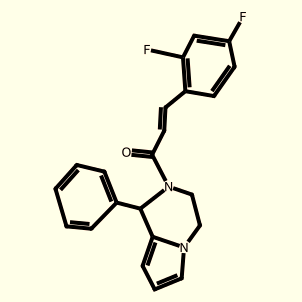 O=C(C=Cc1ccc(F)cc1F)N1CCn2cccc2C1c1ccccc1